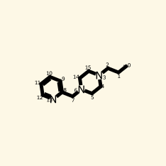 [CH2]CCN1CCN(Cc2ccccn2)CC1